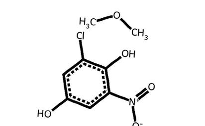 COC.O=[N+]([O-])c1cc(O)cc(Cl)c1O